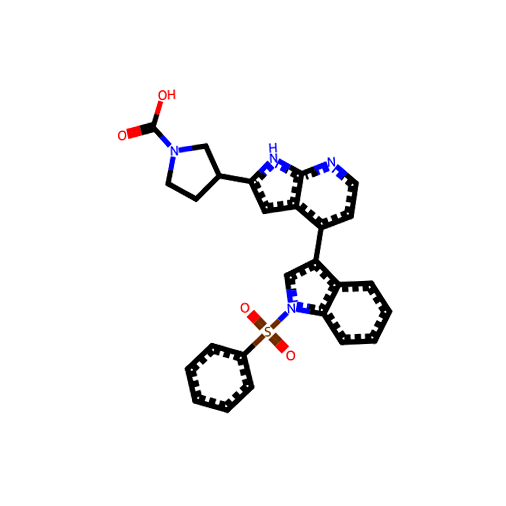 O=C(O)N1CCC(c2cc3c(-c4cn(S(=O)(=O)c5ccccc5)c5ccccc45)ccnc3[nH]2)C1